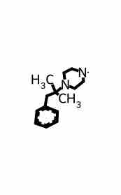 CC(C)(Cc1ccccc1)N1CC[N]CC1